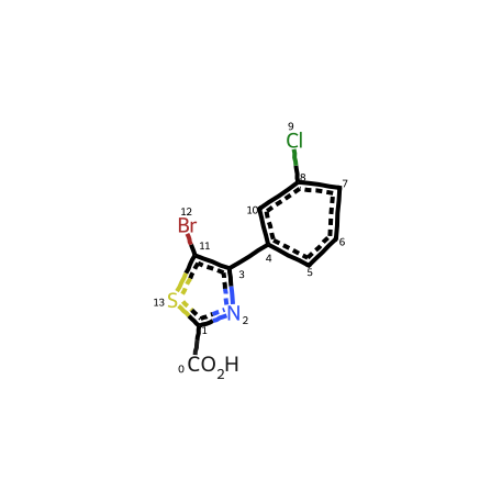 O=C(O)c1nc(-c2cccc(Cl)c2)c(Br)s1